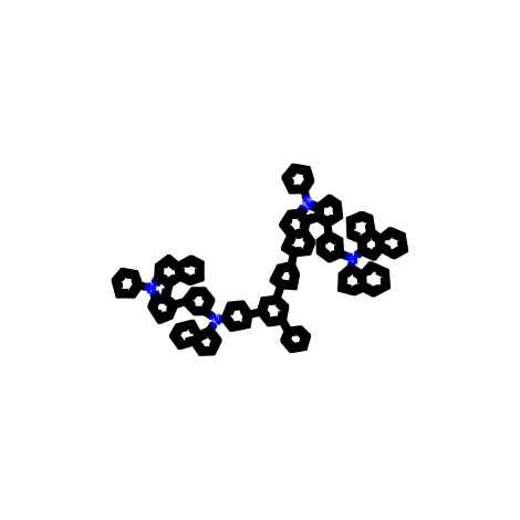 c1ccc(-c2cc(-c3ccc(-c4ccc5c(ccc6c5c5c(-c7cccc(N(c8cccc9ccccc89)c8cc9ccccc9c9ccccc89)c7)cccc5n6-c5ccccc5)c4)cc3)cc(-c3ccc(N(c4cccc(-c5cccc6c5c5c7ccccc7ccc5n6-c5ccccc5)c4)c4cccc5ccccc45)cc3)c2)cc1